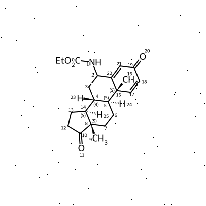 CCOC(=O)NC1C[C@@H]2[C@H](CC[C@]3(C)C(=O)CC[C@@H]23)[C@@]2(C)C=CC(=O)C=C12